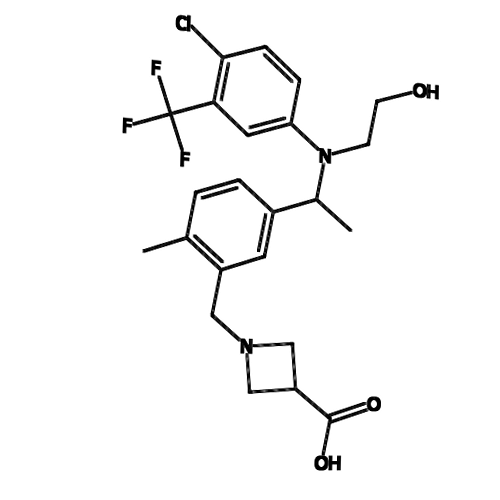 Cc1ccc(C(C)N(CCO)c2ccc(Cl)c(C(F)(F)F)c2)cc1CN1CC(C(=O)O)C1